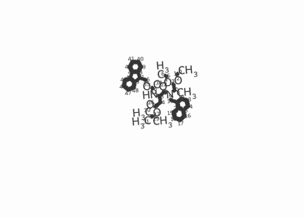 CCOC(OCC)[C@H](C)N(Cc1cccc2ccccc12)C(=O)C(CC(=O)OC(C)(C)C)NC(=O)OCC1c2ccccc2-c2ccccc21